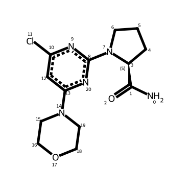 NC(=O)[C@@H]1CCCN1c1nc(Cl)cc(N2CCOCC2)n1